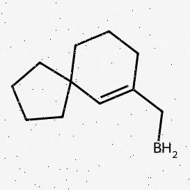 BCC1=CC2(CCCC2)CCC1